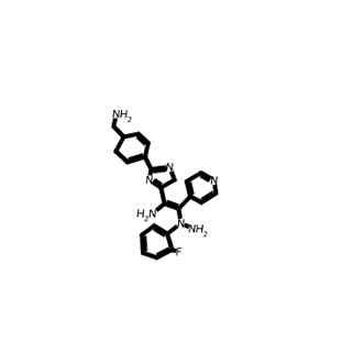 NCC1C=CC(C2=NCC(/C(N)=C(\c3ccncc3)N(N)c3ccccc3F)=N2)=CC1